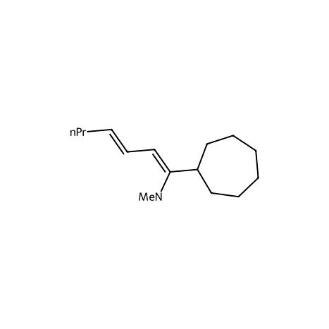 CCC/C=C/C=C(\NC)C1CCCCCC1